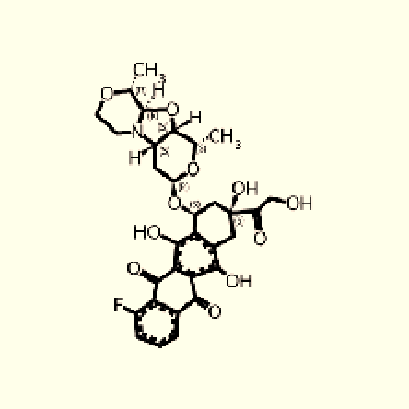 C[C@@H]1O[C@@H](O[C@H]2C[C@](O)(C(=O)CO)Cc3c(O)c4c(c(O)c32)C(=O)c2c(F)cccc2C4=O)C[C@H]2[C@@H]1O[C@@H]1[C@@H](C)OCCN12